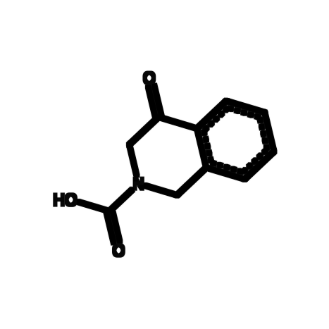 O=C1CN(C(=O)O)Cc2ccccc21